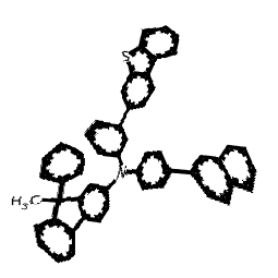 CC1(c2ccccc2)c2ccccc2-c2ccc(N(c3ccc(-c4ccc5ccccc5c4)cc3)c3cccc(-c4ccc5c(c4)sc4ccccc45)c3)cc21